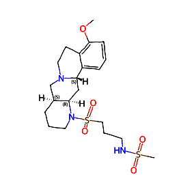 COc1cccc2c1CCN1C[C@@H]3CCCN(S(=O)(=O)CCCNS(C)(=O)=O)[C@@H]3C[C@@H]21